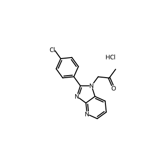 CC(=O)Cn1c(-c2ccc(Cl)cc2)nc2ncccc21.Cl